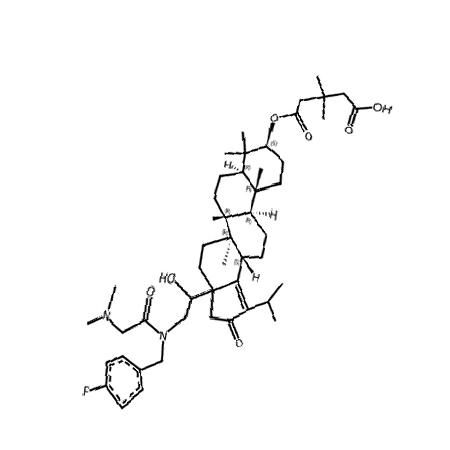 CC(C)C1=C2[C@H]3CC[C@@H]4[C@@]5(C)CC[C@H](OC(=O)CC(C)(C)CC(=O)O)C(C)(C)[C@@H]5CC[C@@]4(C)[C@]3(C)CCC2(C(O)CN(Cc2ccc(F)cc2)C(=O)CN(C)C)CC1=O